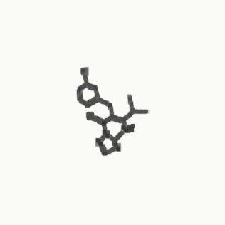 CC(C)c1[nH]c2ncnn2c(=O)c1Cc1cccc(Cl)c1